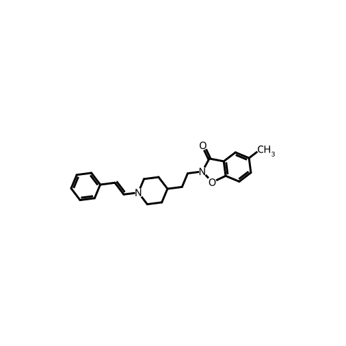 Cc1ccc2on(CCC3CCN(C=Cc4ccccc4)CC3)c(=O)c2c1